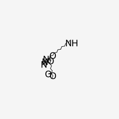 CNCCCCCCCOCC(N=[N+]=[N-])OCCCCC(=O)OC